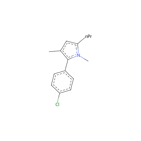 CCCc1cc(C)c(-c2ccc(Cl)cc2)n1C